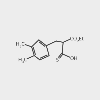 CCOC(=O)C(Cc1ccc(C)c(C)c1)C(O)=S